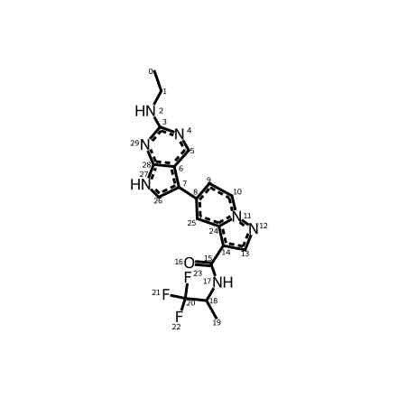 CCNc1ncc2c(-c3ccn4ncc(C(=O)NC(C)C(F)(F)F)c4c3)c[nH]c2n1